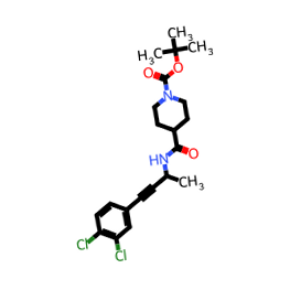 CC(C#Cc1ccc(Cl)c(Cl)c1)NC(=O)C1CCN(C(=O)OC(C)(C)C)CC1